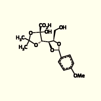 COc1ccc(C2O[C@@H]([C@@H]3OC(C)(C)O[C@@]3(O)C(=O)O)[C@@H](CO)O2)cc1